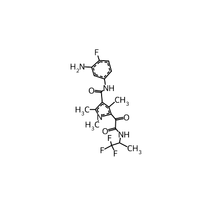 Cc1c(C(=O)Nc2ccc(F)c(N)c2)c(C)n(C)c1C(=O)C(=O)NC(C)C(F)(F)F